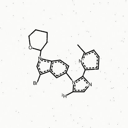 [2H]c1cnc(-c2cccc(C)n2)n1-c1ccc2c(c1)c(Br)cn2C1CCCCO1